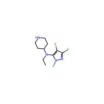 CCN(c1c(F)c(F)nn1F)C1CCNCC1